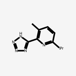 Cc1ccc(C(C)C)nc1-c1nnn[nH]1